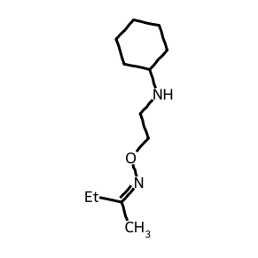 CC/C(C)=N\OCCNC1CCCCC1